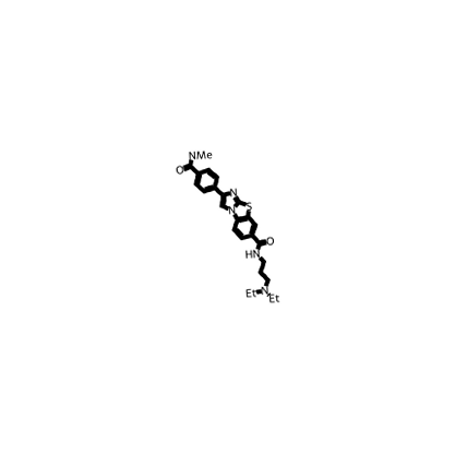 CCN(CC)CCCNC(=O)c1ccc2c(c1)sc1nc(-c3ccc(C(=O)NC)cc3)cn12